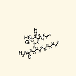 C=CC[N+](C)(C)C(CCC)C(O)CO.CCCCCCCCCCCC(N)=O.[Cl-]